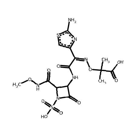 CONC(=O)C1C(NC(=O)C(=NOC(C)(C)C(=O)O)c2csc(N)n2)C(=O)N1S(=O)(=O)O